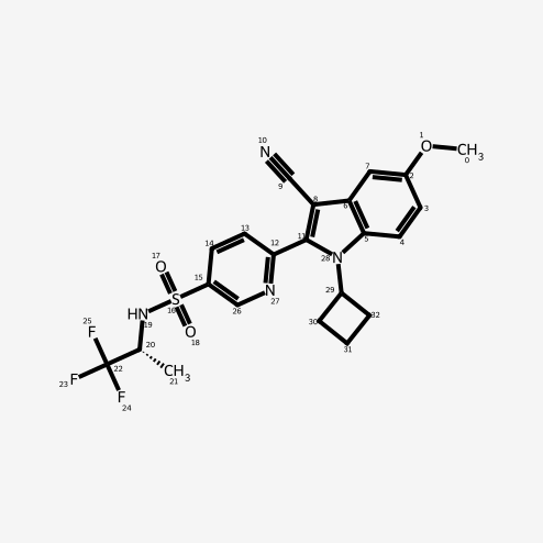 COc1ccc2c(c1)c(C#N)c(-c1ccc(S(=O)(=O)N[C@H](C)C(F)(F)F)cn1)n2C1CCC1